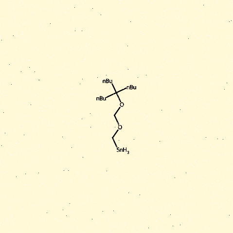 CCCCC(CCCC)(CCCC)OCO[CH2][SnH3]